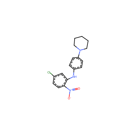 O=[N+]([O-])c1ccc(Cl)cc1Nc1ccc(N2CCCCC2)cc1